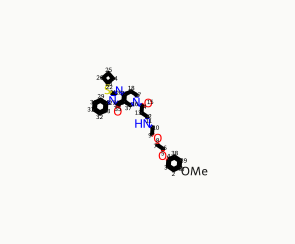 COc1ccc(OCCOCCNCCC(=O)N2CCc3nc(SC4CCC4)n(-c4ccccc4)c(=O)c3C2)cc1